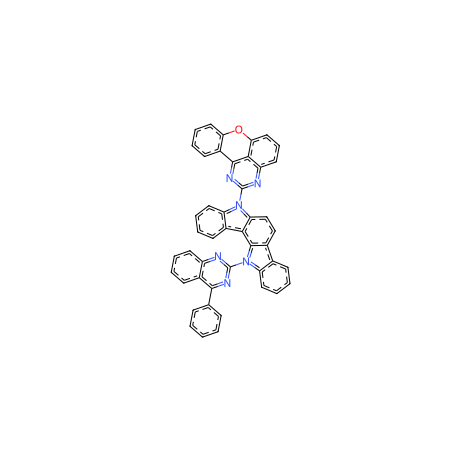 c1ccc(-c2nc(-n3c4ccccc4c4ccc5c(c6ccccc6n5-c5nc6c7c(cccc7n5)Oc5ccccc5-6)c43)nc3ccccc23)cc1